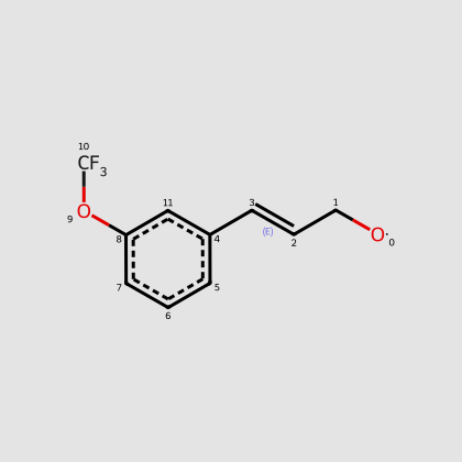 [O]C/C=C/c1cccc(OC(F)(F)F)c1